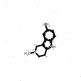 Bc1ccc2[nH]c3c(c2c1)CN(C)CC3